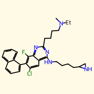 CCN(C)CCCCc1nc(NCCCCC2CN2)c2cc(Cl)c(-c3cccc4ccccc34)c(F)c2n1